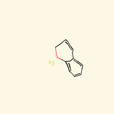 C1=Cc2ccccc2OC1.S